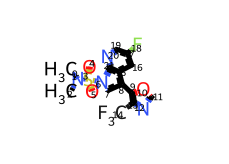 CN(C)S(=O)(=O)n1cc(-c2ocnc2C(F)(F)F)c2cc(F)cnc21